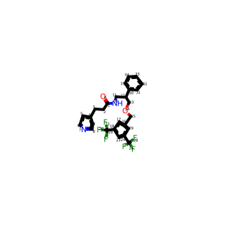 O=C(CCc1ccncc1)NCC(COCc1cc(C(F)(F)F)cc(C(F)(F)F)c1)c1ccccc1